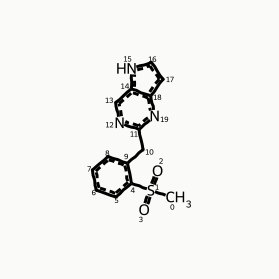 CS(=O)(=O)c1ccccc1Cc1ncc2[nH]ccc2n1